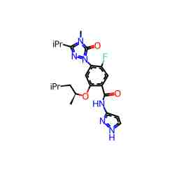 CC(C)C[C@H](C)Oc1cc(-n2nc(C(C)C)n(C)c2=O)c(F)cc1C(=O)Nc1cc[nH]n1